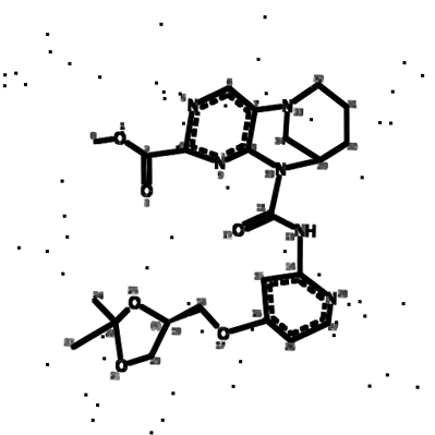 COC(=O)c1ncc2c(n1)N(C(=O)Nc1cc(OC[C@H]3COC(C)(C)O3)ccn1)C1CCCN2C1